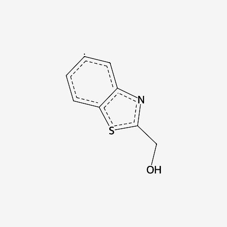 OCc1nc2c[c]ccc2s1